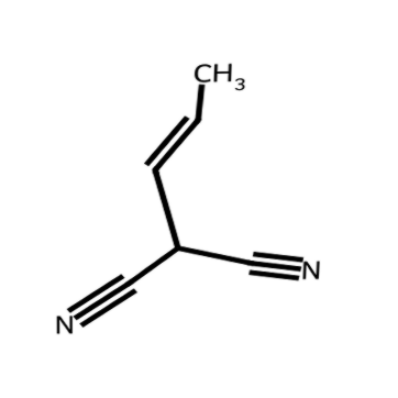 C/C=C/C(C#N)C#N